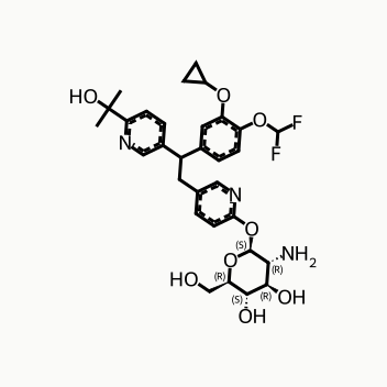 CC(C)(O)c1ccc(C(Cc2ccc(O[C@@H]3O[C@H](CO)[C@@H](O)[C@H](O)[C@H]3N)nc2)c2ccc(OC(F)F)c(OC3CC3)c2)cn1